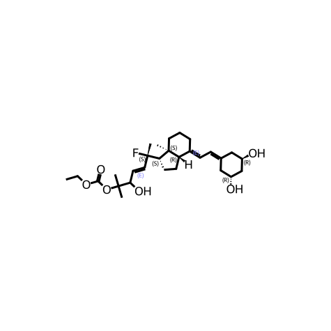 CCOC(=O)OC(C)(C)C(O)/C=C/[C@](C)(F)[C@H]1CC[C@H]2/C(=C/C=C3C[C@@H](O)C[C@H](O)C3)CCC[C@@]21C